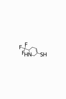 FC(F)(F)C1CC=C(S)CN1